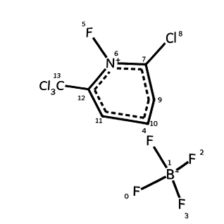 F[B-](F)(F)F.F[n+]1c(Cl)cccc1C(Cl)(Cl)Cl